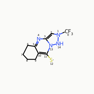 FC(F)(F)N1C=C2N=C3CCCCC3=C([S])N2N1